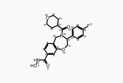 O=C(NO)c1ccc2c(c1)OCC(c1ccc(F)cc1)N(C(=O)C1CCOCC1)C2